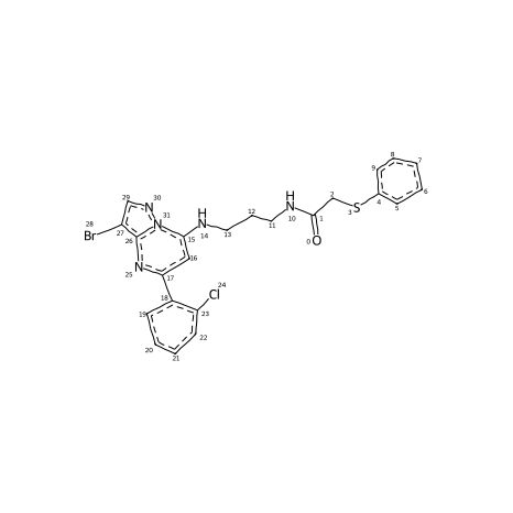 O=C(CSc1ccccc1)NCCCNc1cc(-c2ccccc2Cl)nc2c(Br)cnn12